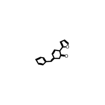 O=C1CC(=Cc2ccccc2)C=CC1c1ccco1